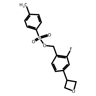 Cc1ccc(S(=O)(=O)OCc2ccc(C3COC3)cc2F)cc1